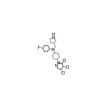 O=c1c(Cl)c(Cl)cnn1C1CCC(N(CC2CCNC2)c2ccc(F)cc2)CC1